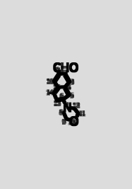 O=Cc1ccc2cc(N3CCOCC3)ccc2c1